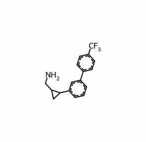 NCC1CC1c1cccc(-c2ccc(C(F)(F)F)cc2)c1